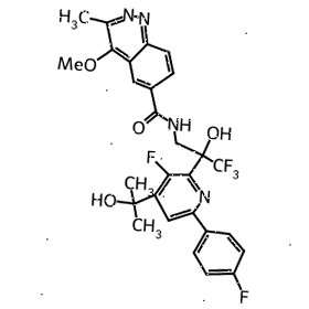 COc1c(C)nnc2ccc(C(=O)NCC(O)(c3nc(-c4ccc(F)cc4)cc(C(C)(C)O)c3F)C(F)(F)F)cc12